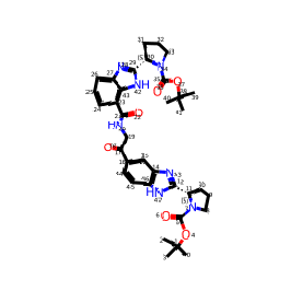 CC(C)(C)OC(=O)N1CCC[C@H]1c1nc2cc(C(=O)CNC(=O)c3cccc4nc([C@@H]5CCCN5C(=O)OC(C)(C)C)[nH]c34)ccc2[nH]1